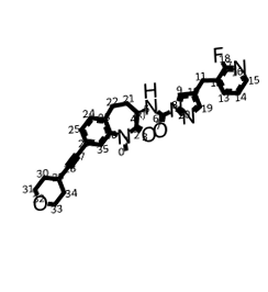 CN1C(=O)[C@H](NC(=O)n2cc(Cc3cccnc3F)cn2)CCc2ccc(C#CC3CCOCC3)cc21